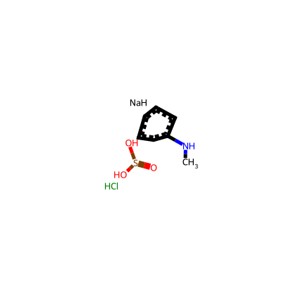 CNc1ccccc1.Cl.O=S(O)O.[NaH]